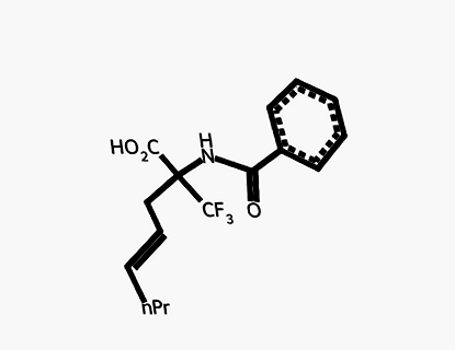 CCC/C=C/CC(NC(=O)c1ccccc1)(C(=O)O)C(F)(F)F